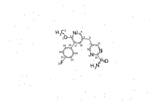 COc1ncc(Cc2cnc(C(N)=O)nc2)cc1-c1ccc(F)cc1